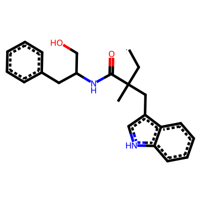 [CH2]CC(C)(Cc1c[nH]c2ccccc12)C(=O)NC(CO)Cc1ccccc1